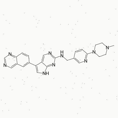 CN1CCN(c2ccc(CNc3ncc4c(-c5ccc6ncncc6c5)c[nH]c4n3)cn2)CC1